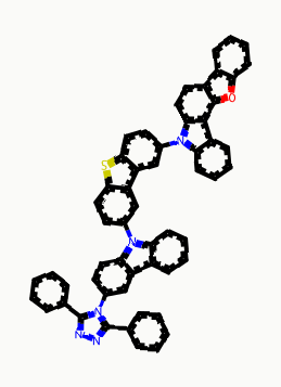 c1ccc(-c2nnc(-c3ccccc3)n2-c2ccc3c(c2)c2ccccc2n3-c2ccc3sc4ccc(-n5c6ccccc6c6c7oc8ccccc8c7ccc65)cc4c3c2)cc1